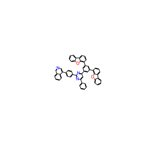 c1ccc(-c2cc(-c3cc(-c4cccc5c4oc4ccccc45)cc(-c4cccc5c4oc4ccccc45)c3)nc(-c3ccc(-c4cncc5ccccc45)cc3)n2)cc1